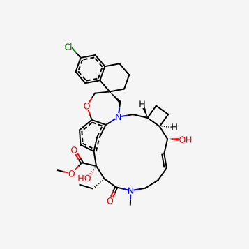 CC[C@H]1C(=O)N(C)CC/C=C/[C@H](O)[C@@H]2CC[C@H]2CN2C[C@@]3(CCCc4cc(Cl)ccc43)COc3ccc(cc32)[C@]1(O)C(=O)OC